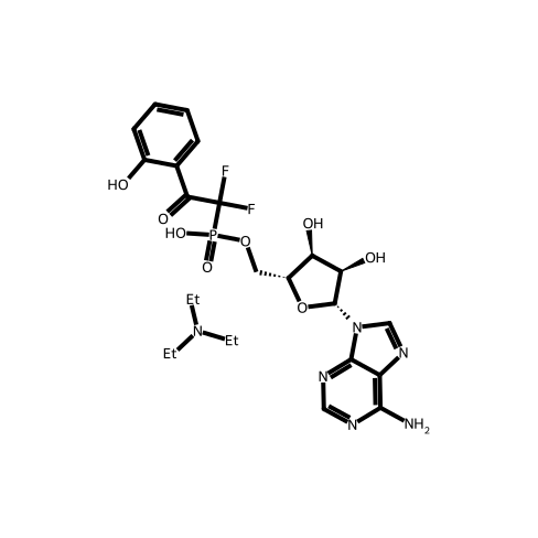 CCN(CC)CC.Nc1ncnc2c1ncn2[C@@H]1O[C@H](COP(=O)(O)C(F)(F)C(=O)c2ccccc2O)[C@@H](O)[C@H]1O